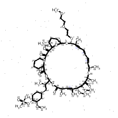 COCCOCCO[C@H]1C[C@@H]2CC[C@@H](C)[C@@](O)(O2)C(=O)C(=O)N2CCCC[C@H]2C(=O)O[C@H]([C@H](C)C[C@@H]2CC[C@@H](OP(C)(C)=O)[C@H](OC)C2)CC(=O)[C@H](C)/C=C(\C)[C@@H](OC)[C@@H](OC)C(=O)[C@H](C)C[C@H](C)/C=C/C=C/C=C/1C